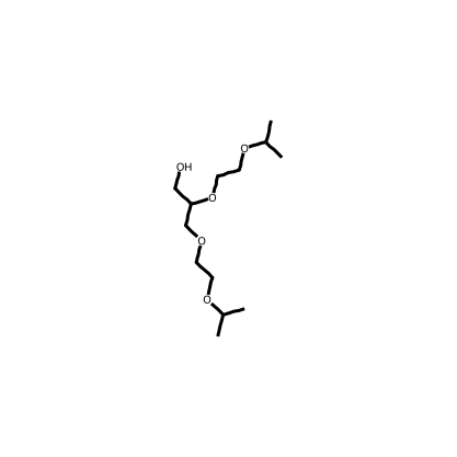 CC(C)OCCOCC(CO)OCCOC(C)C